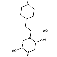 Cl.OC1CN(CCC2CCNCC2)C(O)CN1